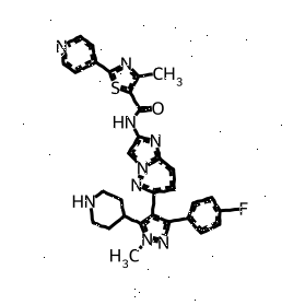 Cc1nc(-c2ccncc2)sc1C(=O)Nc1cn2nc(-c3c(-c4ccc(F)cc4)nn(C)c3C3CCNCC3)ccc2n1